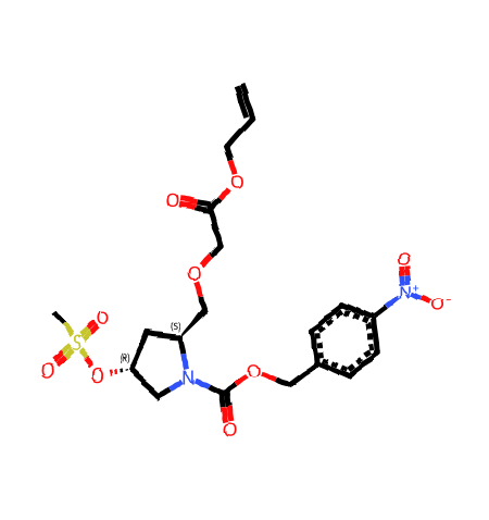 C=CCOC(=O)COC[C@@H]1C[C@@H](OS(C)(=O)=O)CN1C(=O)OCc1ccc([N+](=O)[O-])cc1